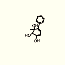 CC1(O)C(c2ccccc2)=CC=C(O)C1O